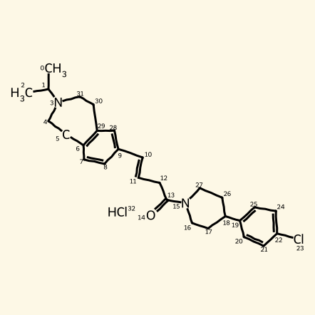 CC(C)N1CCc2ccc(/C=C/CC(=O)N3CCC(c4ccc(Cl)cc4)CC3)cc2CC1.Cl